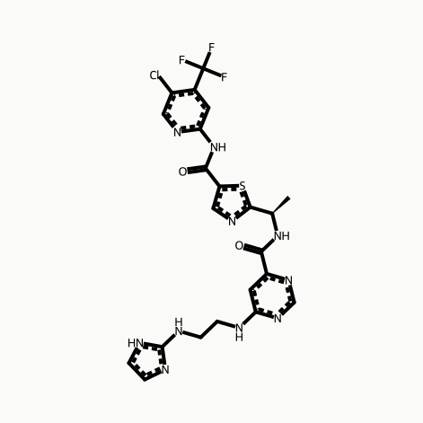 C[C@@H](NC(=O)c1cc(NCCNc2ncc[nH]2)ncn1)c1ncc(C(=O)Nc2cc(C(F)(F)F)c(Cl)cn2)s1